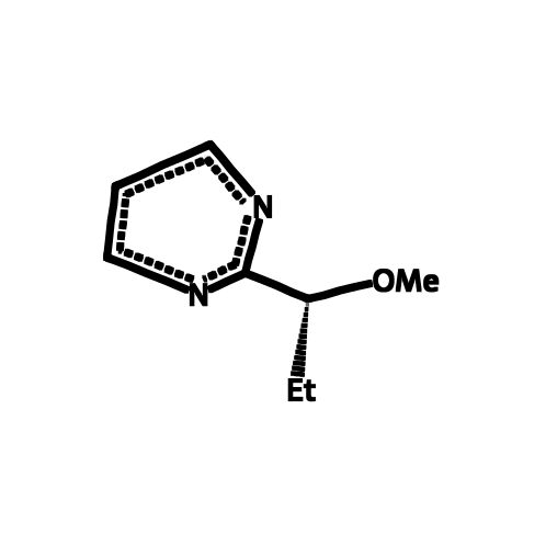 CC[C@@H](OC)c1ncccn1